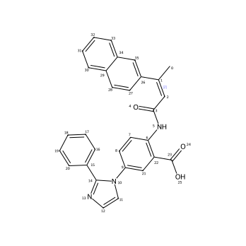 C/C(=C/C(=O)Nc1ccc(-n2ccnc2-c2ccccc2)cc1C(=O)O)c1ccc2ccccc2c1